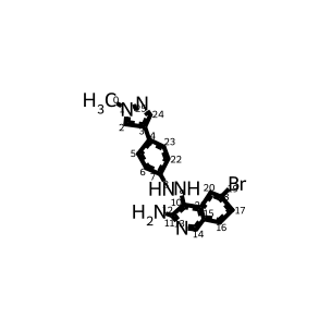 Cn1cc(-c2ccc(NNc3c(N)ncc4ccc(Br)cc34)cc2)cn1